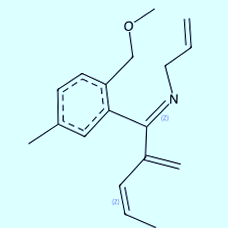 C=CC/N=C(/C(=C)/C=C\C)c1cc(C)ccc1COC